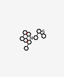 c1ccc(-c2ccc(N(c3cccc(-c4cccc5sc6ccccc6c45)c3)c3ccccc3-c3cccc4cccc(-c5ccccc5)c34)cc2)cc1